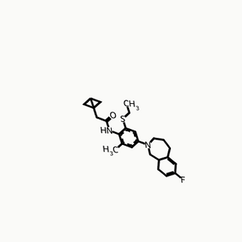 CCSc1cc(N2CCCC3=CC(F)=CCC3C2)cc(C)c1NC(=O)CC12CC1C2